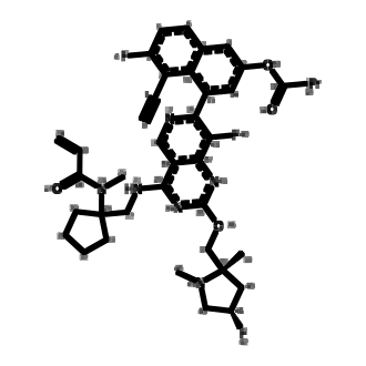 C#Cc1c(F)ccc2cc(OC(=O)C(C)C)cc(-c3ncc4c(NCC5(N(C)C(=O)C=C)CCCC5)nc(OC[C@]5(C)C[C@@H](F)CN5C)nc4c3F)c12